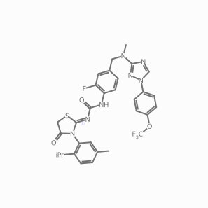 Cc1ccc(C(C)C)c(N2C(=O)CS/C2=N\C(=O)Nc2ccc(CN(C)c3ncn(-c4ccc(OC(F)(F)F)cc4)n3)cc2F)c1